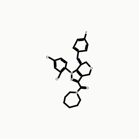 O=C(c1nn(-c2ccc(Cl)cc2Cl)c2c1COC/C2=C\c1ccc(F)cc1)N1CCCCCC1